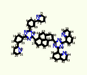 c1ccc(-c2cccc(-c3nc(-c4cccc(-c5ccccn5)c4)nc(-c4ccc5ccc6c(-c7nc(-c8cccc9cccnc89)nc(-c8cccc9cccnc89)n7)ccc7ccc4c5c76)n3)c2)nc1